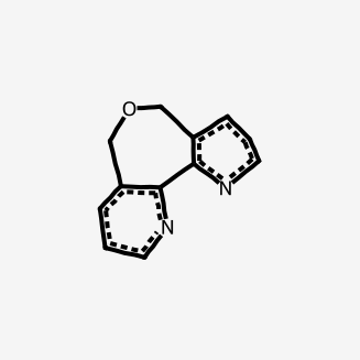 c1cnc2c(c1)COCc1cccnc1-2